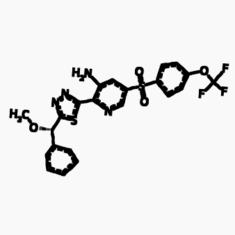 CO[C@@H](c1ccccc1)c1nnc(-c2ncc(S(=O)(=O)c3ccc(OC(F)(F)F)cc3)cc2N)s1